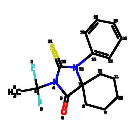 CC(F)(F)N1C(=O)C2(CCCCC2)N(c2ccccc2)C1=S